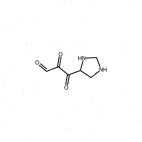 O=CC(=O)C(=O)C1CNCN1